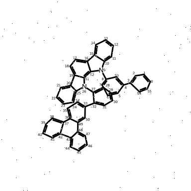 c1ccc(-c2cccc(-n3c4ccccc4c4ccc5c6ccccc6n(-c6ccccc6-c6ccc7c8ccccc8c8ccccc8c7c6)c5c43)c2)cc1